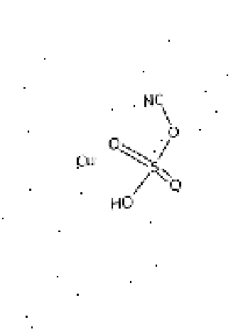 N#COS(=O)(=O)O.[Cu]